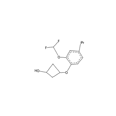 CC(C)c1ccc(OC2CC(O)C2)c(OC(F)F)c1